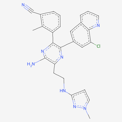 Cc1c(C#N)cccc1-c1nc(N)c(CCNc2ccn(C)n2)nc1-c1cc(Cl)c2ncccc2c1